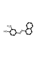 Nc1cc(N=Nc2cccc3ccccc23)ccc1O